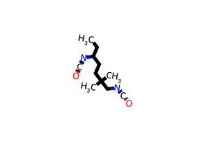 CCC(CCC(C)(C)CN=C=O)N=C=O